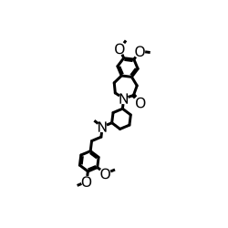 COc1ccc(CCN(C)C2CCCC(N3CCc4cc(OC)c(OC)cc4CC3=O)C2)cc1OC